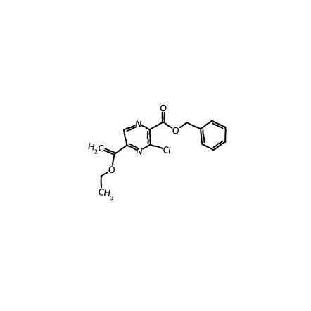 C=C(OCC)c1cnc(C(=O)OCc2ccccc2)c(Cl)n1